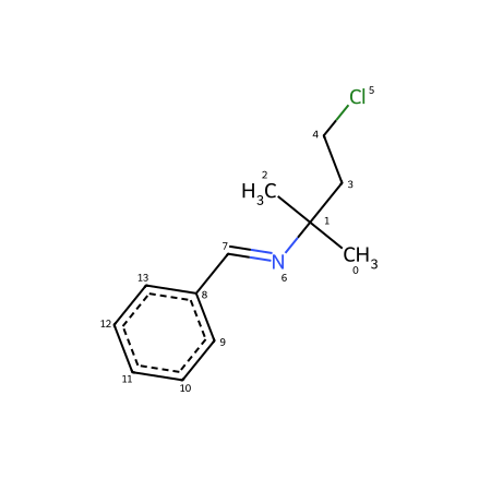 CC(C)(CCCl)/N=C/c1ccccc1